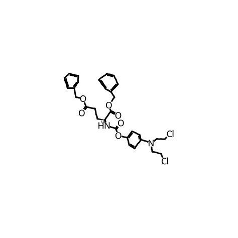 O=C(CC[C@H](NC(=O)Oc1ccc(N(CCCl)CCCl)cc1)C(=O)OCc1ccccc1)OCc1ccccc1